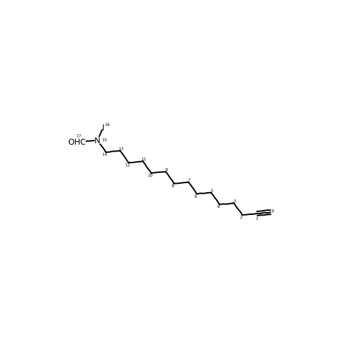 C#CCCCCCCCCCCCCCN(I)C=O